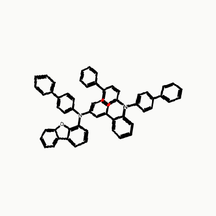 c1ccc(-c2ccc(N(c3ccc(-c4ccccc4)cc3)c3ccccc3-c3cccc(N(c4ccc(-c5ccccc5)cc4)c4cccc5c4oc4ccccc45)c3)cc2)cc1